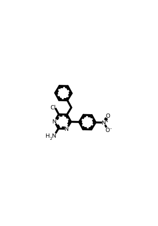 Nc1nc(Cl)c(Cc2ccccc2)c(-c2ccc([N+](=O)[O-])cc2)n1